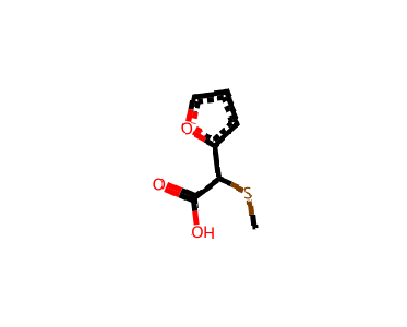 CSC(C(=O)O)c1ccco1